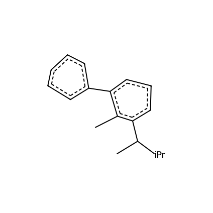 Cc1c(-c2ccccc2)cccc1C(C)C(C)C